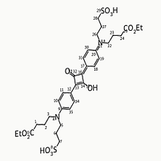 CCOC(=O)CCCN(CCCS(=O)(=O)O)c1ccc(C2=C(O)C(=C3C=CC(=[N+](CCCC(=O)OCC)CCCS(=O)(=O)O)C=C3)C2=O)cc1